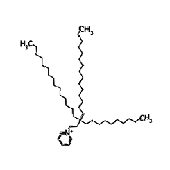 CCCCCCCCCCCCCCCC(CCCCCCCCCC)(CCCCCCCCCCCCCCC)CC[n+]1ccccc1